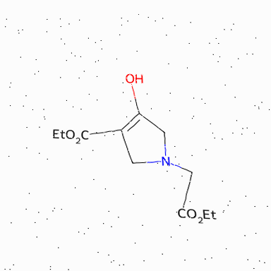 CCOC(=O)CN1CC(O)=C(C(=O)OCC)C1